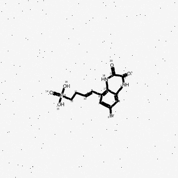 O=c1[nH]c2cc(Br)cc(C=CCCP(=O)(O)O)c2[nH]c1=O